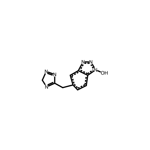 On1nnc2cc(CC3=NCN=N3)ccc21